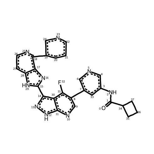 O=C(Nc1cncc(-c2cnc3[nH]nc(-c4nc5c(-c6cccnc6)nccc5[nH]4)c3c2F)c1)C1CCC1